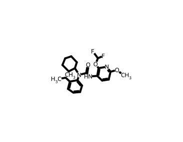 COc1ccc(NC(=O)N(c2ccccc2C(C)C)C2CCCCC2)c(OC(F)F)n1